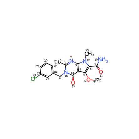 CCc1nc2c(c(OC(C)C)c(C(N)=O)n2C)c(=O)n1Cc1cccc(Cl)c1